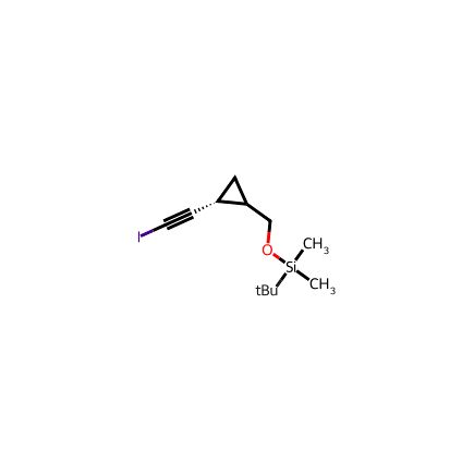 CC(C)(C)[Si](C)(C)OCC1C[C@H]1C#CI